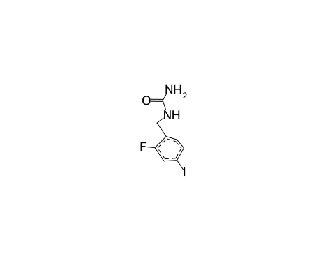 NC(=O)NCc1ccc(I)cc1F